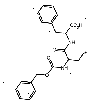 CC(C)CC(NC(=O)OCc1ccccc1)C(=O)NC(Cc1ccccc1)C(=O)O